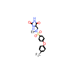 CCN(CC1NC(=O)NC1=O)S(=O)(=O)c1ccc(Oc2ccc(C(F)(F)F)cc2)cc1